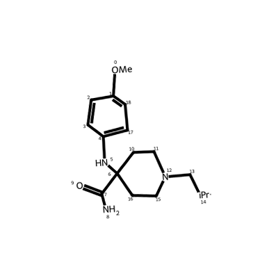 COc1ccc(NC2(C(N)=O)CCN(C[C](C)C)CC2)cc1